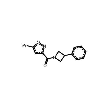 CC(C)c1cc(C(=O)N2CC(c3ccccc3)C2)no1